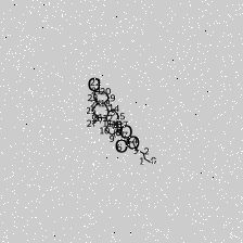 CCCCOC(=O)O[C@H]1CCC2C3C(CC[C@@]21C)C1CCC(=O)C=C1C[C@@H]3C